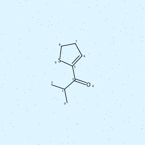 CC(C)C(=O)C1=CCCS1